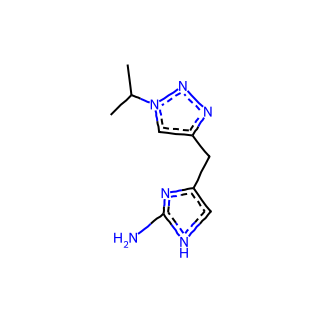 CC(C)n1cc(Cc2c[nH]c(N)n2)nn1